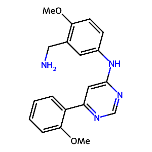 COc1ccc(Nc2cc(-c3ccccc3OC)ncn2)cc1CN